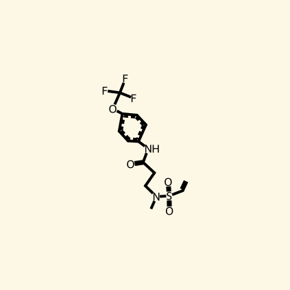 C=CS(=O)(=O)N(C)CCC(=O)Nc1ccc(OC(F)(F)F)cc1